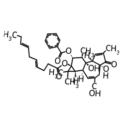 CC/C=C/C/C=C/CCC(=O)O[C@@]12[C@H](OC(=O)c3ccccc3)[C@@H](C)[C@@]3(O)[C@@H](C=C(CO)C[C@]4(O)C(=O)C(C)=C[C@@H]34)[C@@H]1C2(C)C